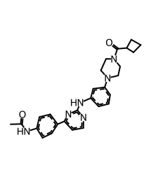 CC(=O)Nc1ccc(-c2ccnc(Nc3cccc(N4CCN(C(=O)C5CCC5)CC4)c3)n2)cc1